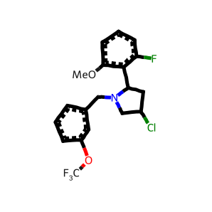 COc1cccc(F)c1C1CC(Cl)CN1Cc1cccc(OC(F)(F)F)c1